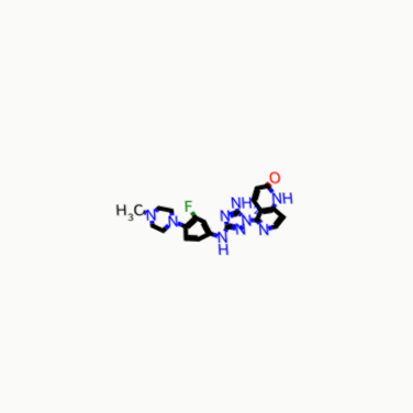 CN1CCN(c2ccc(Nc3nc(N)n(-c4nccc5[nH]c(=O)ccc45)n3)cc2F)CC1